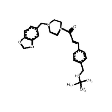 CC(C)(C)NCc1ccc(/C=C/C(=O)N2CCN(Cc3ccc4c(c3)OCO4)CC2)cc1